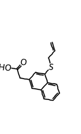 C=CCSc1cc(CC(=O)O)cc2ccccc12